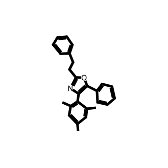 Cc1cc(C)c(-c2nc(CCc3ccccc3)oc2-c2ccccc2)c(C)c1